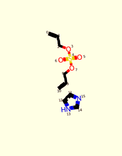 C=CCOS(=O)(=O)OCC=C.c1c[nH]cn1